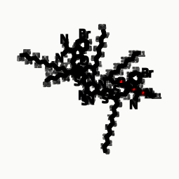 CCCCCCCCCCCc1c(/C=C2\C(=O)c3ccc(Br)cc3C2=C(C#N)C#N)sc2c1sc1c3c4nsnc4c4c5sc6c(CCCCCCCCCCC)c(/C=C7\C(=O)c8ccc(Br)cc8C7=C(C#N)C#N)sc6c5n(CC(CCCCCCCC)CCCCCCCCCC)c4c3n(CC(CCCCCCCC)CCCCCCCCCC)c21